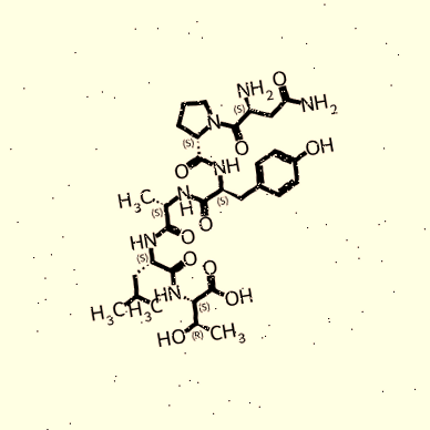 CC(C)C[C@H](NC(=O)[C@H](C)NC(=O)[C@H](Cc1ccc(O)cc1)NC(=O)[C@@H]1CCCN1C(=O)[C@@H](N)CC(N)=O)C(=O)N[C@H](C(=O)O)[C@@H](C)O